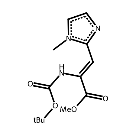 COC(=O)C(=Cc1nccn1C)NC(=O)OC(C)(C)C